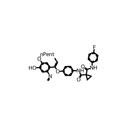 C=Nc1cc(O)c(OCCCCC)cc1/C(=C\C)Oc1ccc(NC(=O)C2(C(=O)Nc3ccc(F)cc3)CC2)cc1